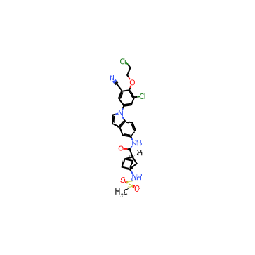 CS(=O)(=O)NC12CC(C1)[C@@H](C(=O)Nc1ccc3c(ccn3-c3cc(Cl)c(OCCCl)c(C#N)c3)c1)C2